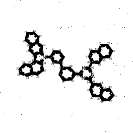 c1cc(-c2cccc(-n3c4cc5ccccc5cc4c4c5ccccc5ccc43)c2)cc(-c2nc(-c3ccc4ccccc4c3)nc(-c3ccc4ccccc4c3)n2)c1